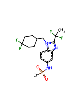 CCS(=O)(=O)Nc1ccc2c(c1)nc(C(C)(F)F)n2CC1CCC(F)(F)CC1